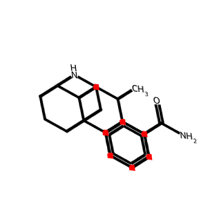 CC(CC1C2CCCC1(c1cccc(C(N)=O)c1)CCN2)c1ccccc1